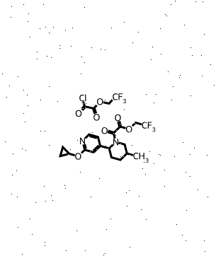 CC1CCC(c2ccnc(OC3CC3)c2)N(C(=O)C(=O)OCC(F)(F)F)C1.O=C(Cl)C(=O)OCC(F)(F)F